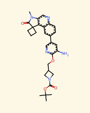 CN1C(=O)C2(CCC2)c2c1cnc1ccc(-c3cnc(OCC4CN(C(=O)OC(C)(C)C)C4)c(N)c3)cc21